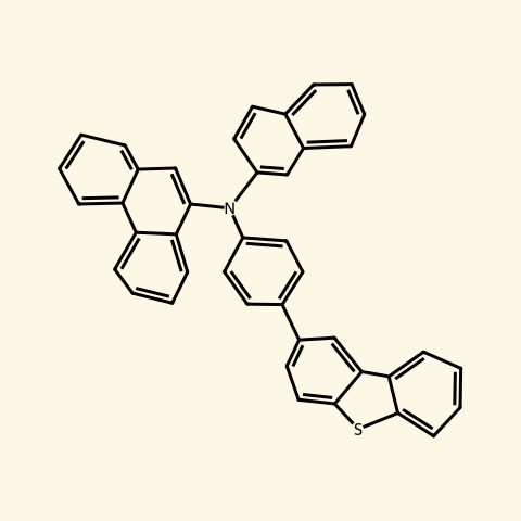 c1ccc2cc(N(c3ccc(-c4ccc5sc6ccccc6c5c4)cc3)c3cc4ccccc4c4ccccc34)ccc2c1